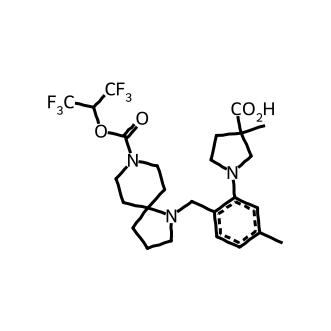 Cc1ccc(CN2CCCC23CCN(C(=O)OC(C(F)(F)F)C(F)(F)F)CC3)c(N2CCC(C)(C(=O)O)C2)c1